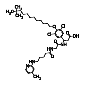 Cc1ccnc(NCCCCC(=O)NCC(=O)NC(CC(=O)O)c2cc(Cl)c(OCCCCCCCCCCC(C)(C)C)c(Cl)c2)c1